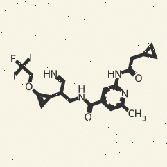 Cc1cc(C(=O)NCC(C=N)C2C=C2OCC(F)(I)I)cc(NC(=O)CC2CC2)n1